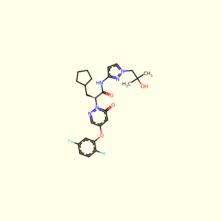 CC(C)(O)Cn1ccc(NC(=O)[C@H](CC2CCCC2)n2ncc(Oc3cc(F)ccc3F)cc2=O)n1